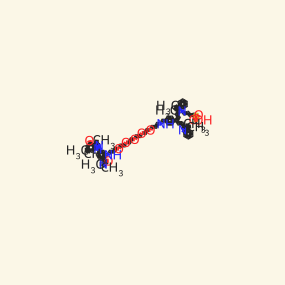 Cc1nn(-c2ccc(C(=O)N(C)C)c(NCCCOCCOCCOCCOCCOCCCNCc3ccc(C(=C\C=C4/N(CCCCS(=O)(=O)O)c5ccccc5C4(C)C)/C=C/C4=Nc5ccccc5C4(C)C)cc3)c2)c2c1C(=O)CC(C)(C)C2